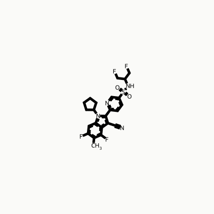 Cc1c(F)cc2c(c1F)c(C#N)c(-c1ccc(S(=O)(=O)NC(CF)CF)cn1)n2C1CCCC1